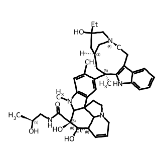 CCC1(O)C[C@H]2C[N@](CCc3c([nH]c4ccccc34)[C@@](C)(c3cc4c(cc3C)N(C)C3C45CCN4CC=C[C@](CC)(C45)[C@@H](O)[C@]3(O)C(=O)NC[C@H](C)O)C2)C1